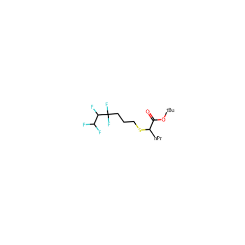 CCCC(SCCCC(F)(F)C(F)C(F)F)C(=O)OC(C)(C)C